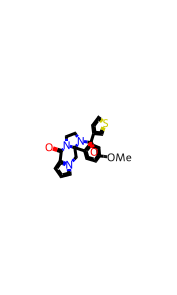 COc1ccc(C23Cn4cccc4C(=O)N2CCN3C(=O)c2ccsc2)cc1